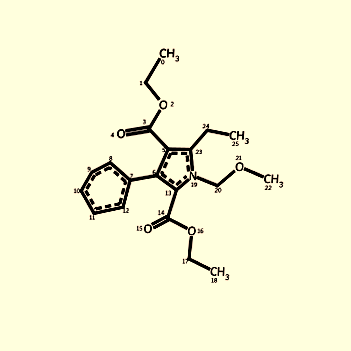 CCOC(=O)c1c(-c2ccccc2)c(C(=O)OCC)n(COC)c1CC